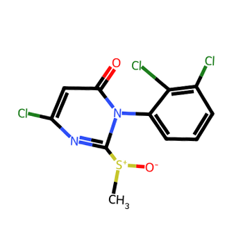 C[S+]([O-])c1nc(Cl)cc(=O)n1-c1cccc(Cl)c1Cl